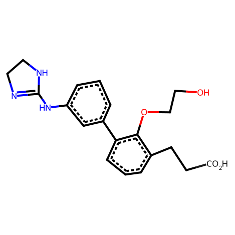 O=C(O)CCc1cccc(-c2cccc(NC3=NCCN3)c2)c1OCCO